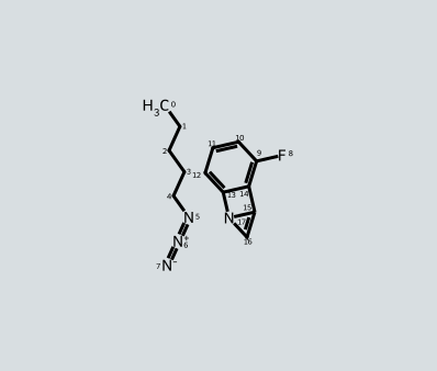 CCCCCN=[N+]=[N-].Fc1cccc2c1c1cn2-1